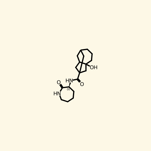 O=C1NCCCC[C@@H]1NC(=O)C12CC3CCCC(O)(C1)C(C3)C2